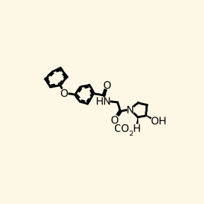 O=C(NCC(=O)N1CC[C@@H](O)[C@H]1C(=O)O)c1ccc(Oc2ccccc2)cc1